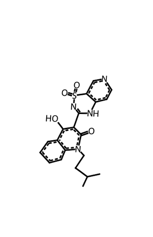 CC(C)CCn1c(=O)c(C2=NS(=O)(=O)c3cnccc3N2)c(O)c2ccccc21